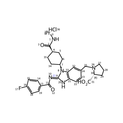 CC(C)NC(=O)[C@H]1CC[C@@H](n2/c(=N/C(=O)c3ccc(F)cc3)[nH]c3ccc(CN4CCC[C@@H]4C(=O)O)cc32)CC1.Cl